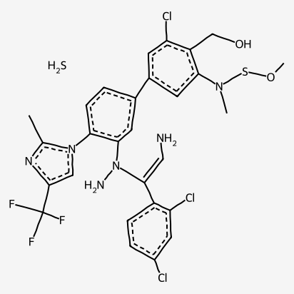 COSN(C)c1cc(-c2ccc(-n3cc(C(F)(F)F)nc3C)c(N(N)/C(=C\N)c3ccc(Cl)cc3Cl)c2)cc(Cl)c1CO.S